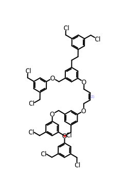 ClCc1cc(CCl)cc(CCc2cc(COc3cc(CCl)cc(CCl)c3)cc(OC/C=C\COc3cc(COc4cc(CCl)cc(CCl)c4)cc(COc4cc(CCl)cc(CCl)c4)c3)c2)c1